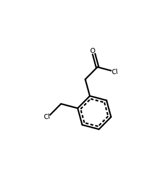 O=C(Cl)Cc1ccccc1CCl